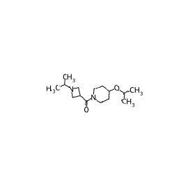 CC(C)OC1CCN(C(=O)C2CN(C(C)C)C2)CC1